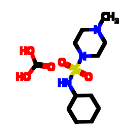 CN1CCN(S(=O)(=O)NC2CCCCC2)CC1.O=C(O)O